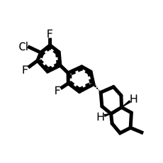 CC1CC[C@@H]2C[C@H](c3ccc(-c4cc(F)c(Cl)c(F)c4)c(F)c3)CC[C@@H]2C1